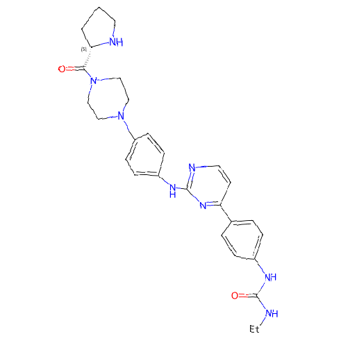 CCNC(=O)Nc1ccc(-c2ccnc(Nc3ccc(N4CCN(C(=O)[C@@H]5CCCN5)CC4)cc3)n2)cc1